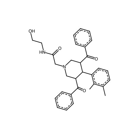 Cc1cccc(C2C(C(=O)c3ccccc3)CN(CC(=O)NCCO)CC2C(=O)c2ccccc2)c1C